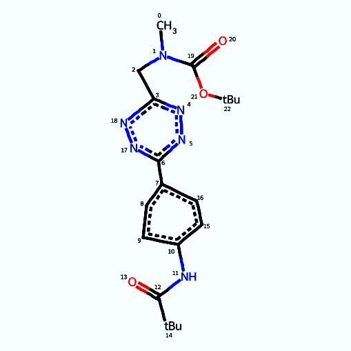 CN(Cc1nnc(-c2ccc(NC(=O)C(C)(C)C)cc2)nn1)C(=O)OC(C)(C)C